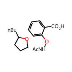 CC(=O)NOc1ccccc1C(=O)O.CCCCC1CCCO1